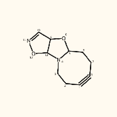 C1#CCCN2C(CC1)OC1C=NOC12